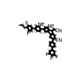 C/C=C/c1c(F)cc(-c2ccc(-c3cc4c(cc3C#N)C(=C(C#N)C#N)c3cc(C#N)c(-c5ccc(-c6cc(F)c(F)c(F)c6)cc5)cc3-4)cc2)cc1F